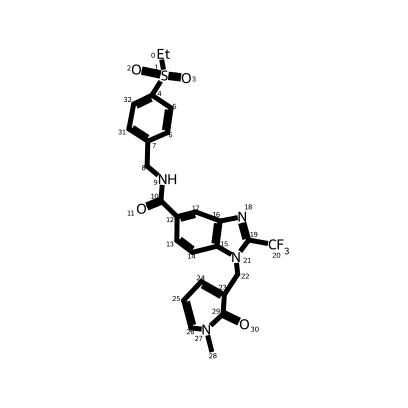 CCS(=O)(=O)c1ccc(CNC(=O)c2ccc3c(c2)nc(C(F)(F)F)n3Cc2cccn(C)c2=O)cc1